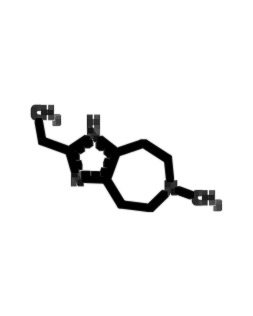 CCc1nc2c([nH]1)CCN(C)CC2